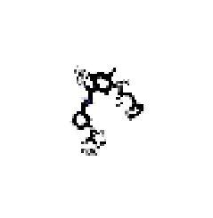 CCCCN(C)C(=O)Nc1cccc(/C=C/c2n[nH]c3cc(C)c(NC(=O)Cc4cccs4)cc23)c1